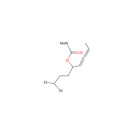 CC=C=CC(CCC(CC)CC)OC(=O)NC